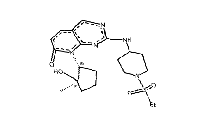 CCS(=O)(=O)N1CCC(Nc2ncc3ccc(=O)n([C@@H]4CCC[C@@]4(C)O)c3n2)CC1